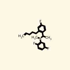 C=CCCCc1cc(F)ccc1C(C)N(C)c1cc(F)ccc1F